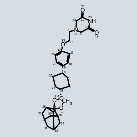 COC1(OO[C@H]2CC[C@@H](c3ccc(OCCN4CC(=O)NC(=O)C4)cc3)CC2)C2CC3CC(C2)CC1C3